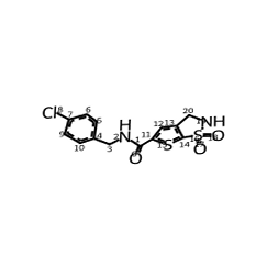 O=C(NCc1ccc(Cl)cc1)c1cc2c(s1)S(=O)(=O)NC2